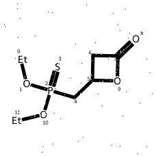 CCOP(=S)(CC1CC(=O)O1)OCC